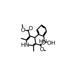 COC(=O)C1=C(C)NC(C)=C(C(=O)OC)C1c1ccccc1NO